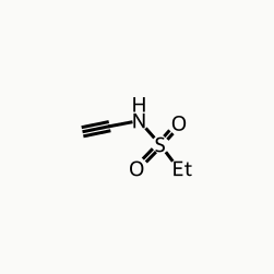 C#CNS(=O)(=O)CC